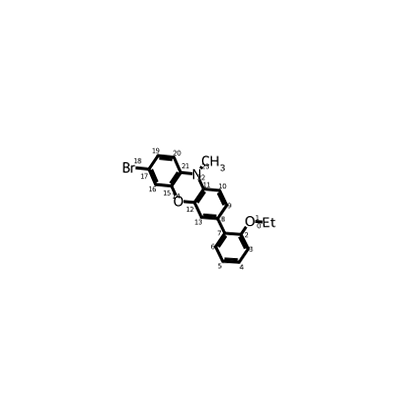 CCOc1ccccc1-c1ccc2c(c1)Oc1cc(Br)ccc1N2C